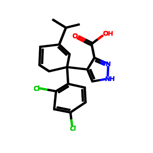 CC(C)C1=CC(c2ccc(Cl)cc2Cl)(c2c[nH]nc2C(=O)O)CC=C1